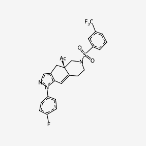 CC(=O)[C@]12Cc3cnn(-c4ccc(F)cc4)c3C=C1CCN(S(=O)(=O)c1cccc(C(F)(F)F)c1)C2